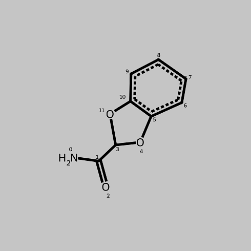 NC(=O)C1Oc2c[c]ccc2O1